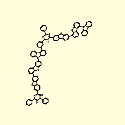 C1=CCCC(C2=NC(c3cccc(-c4cccc5c4c4ccccc4n5-c4ccc5oc6c(-c7ccc8c(c7)sc7cc(C9=NC(c%10ccccc%10)NC(c%10ccccc%10)N9)ccc78)cccc6c5c4)c3)NC(c3ccc4c(c3)sc3cc(-c5cccc6c5oc5cccc(-n7c8ccccc8c8ccccc87)c56)ccc34)=N2)=C1